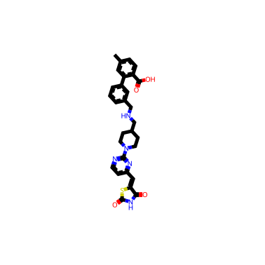 Cc1ccc(C(=O)O)c(-c2cccc(CNCC3CCN(c4nccc(/C=C5\SC(=O)NC5=O)n4)CC3)c2)c1